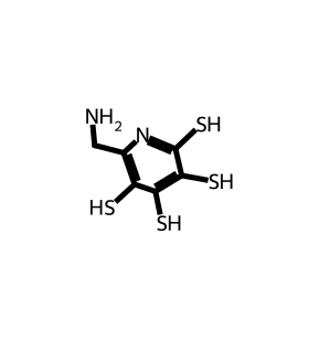 NCc1nc(S)c(S)c(S)c1S